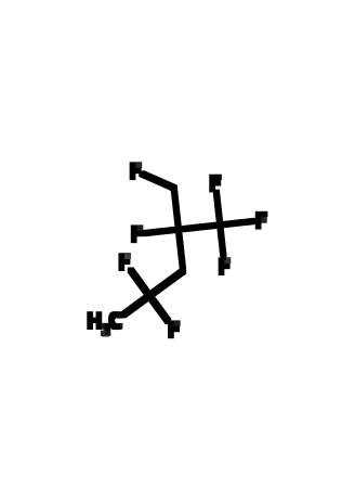 CC(F)(F)CC(F)(CF)C(F)(F)F